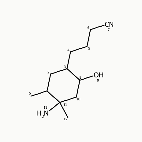 CC1CC(CCCC#N)C(O)CC1(C)N